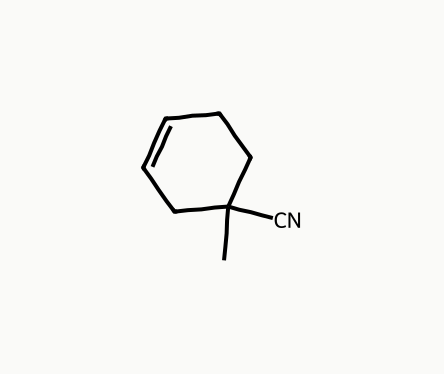 CC1(C#N)CC=CCC1